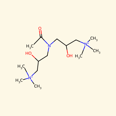 CC(=O)N(CC(O)C[N+](C)(C)C)CC(O)C[N+](C)(C)C